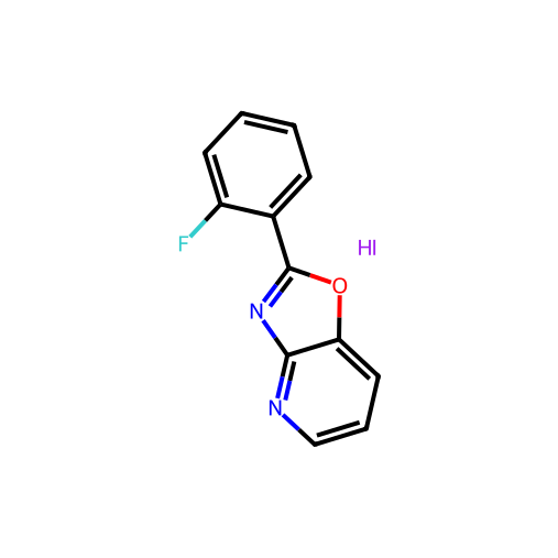 Fc1ccccc1-c1nc2ncccc2o1.I